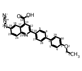 CCOc1ccc(-c2ccc(-c3cc(C(=O)O)c4cc(N=[N+]=[N-])ccc4n3)cc2)cc1